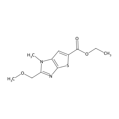 CCOC(=O)c1cc2c(nc(COC)n2C)s1